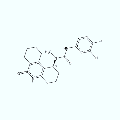 CN(C(=O)Nc1ccc(F)c(Cl)c1)[C@H]1CCCc2[nH]c(=O)c3c(c21)CCCC3